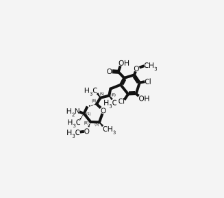 COc1c(Cl)c(O)c(Cl)c(C[C@@H](C)[C@H](C)[C@H]2C[C@](C)(N)[C@@H](OC)[C@H](C)O2)c1C(=O)O